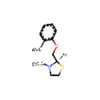 CCOC(=O)N1CCS[C@@]1(COc1ccccc1OC)C(C)=O